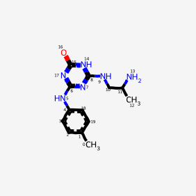 Cc1ccc(Nc2nc(NCC(C)N)[nH]c(=O)n2)cc1